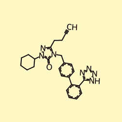 C#CCCc1nn(C2CCCCC2)c(=O)n1Cc1ccc(-c2ccccc2-c2nnn[nH]2)cc1